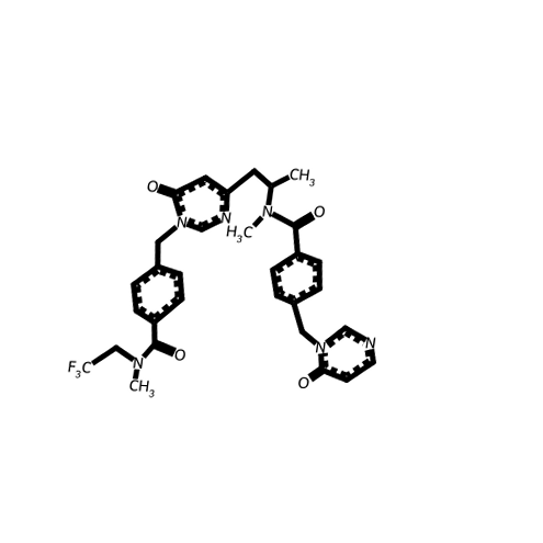 CC(Cc1cc(=O)n(Cc2ccc(C(=O)N(C)CC(F)(F)F)cc2)cn1)N(C)C(=O)c1ccc(Cn2cnccc2=O)cc1